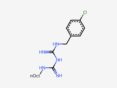 CCCCCCCCNC(=N)NC(=N)NCc1ccc(Cl)cc1